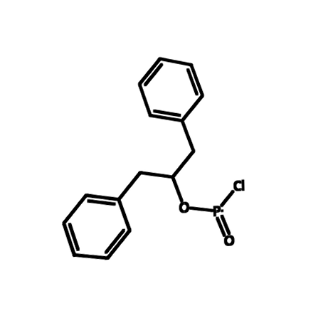 O=[P](Cl)OC(Cc1ccccc1)Cc1ccccc1